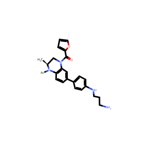 CC(=O)N1c2ccc(-c3ccc(NCCCN)cc3)cc2N(C(=O)c2ccco2)C[C@@H]1C